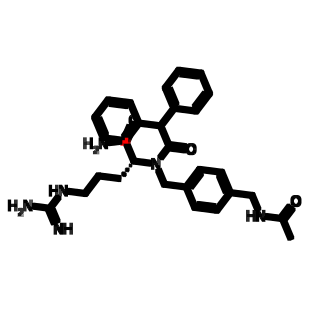 CC(=O)NCc1ccc(CN(C(=O)C(c2ccccc2)c2ccccc2)[C@H](CCCNC(=N)N)C(N)=O)cc1